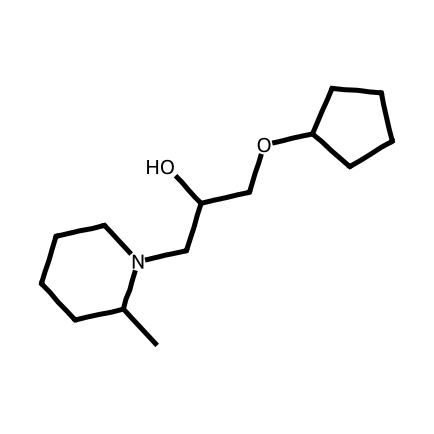 CC1CCCCN1CC(O)COC1CCCC1